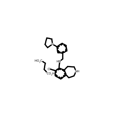 Clc1ccc2c(c1NCc1cccc(N3CCCC3)c1)CCNCC2.O=C(O)CCC(=O)O